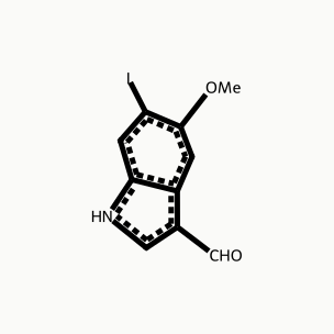 COc1cc2c(C=O)c[nH]c2cc1I